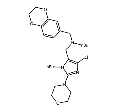 CCCCN(Cc1ccc2c(c1)OCCO2)Cc1c(Cl)nc(N2CCOCC2)n1CCCC